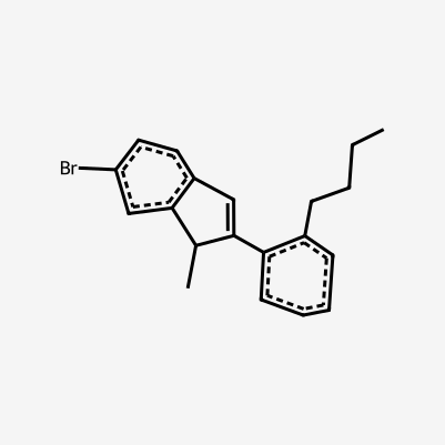 CCCCc1ccccc1C1=Cc2ccc(Br)cc2C1C